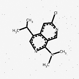 CC(C)c1cnc(N(C)C)c2cnc(Cl)cc12